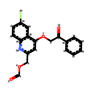 O=COCc1cc(OCC(=O)c2ccccc2)c2cc(F)ccc2n1